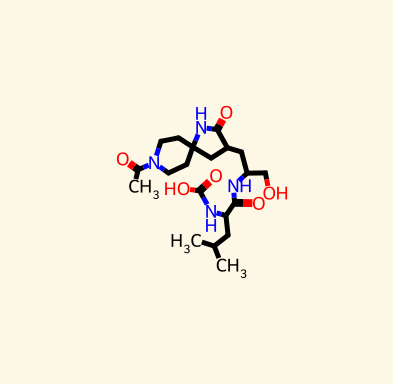 CC(=O)N1CCC2(CC1)CC(CC(CO)NC(=O)C(CC(C)C)NC(=O)O)C(=O)N2